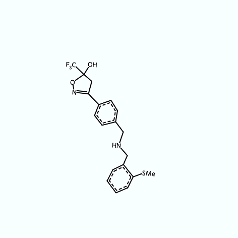 CSc1ccccc1CNCc1ccc(C2=NOC(O)(C(F)(F)F)C2)cc1